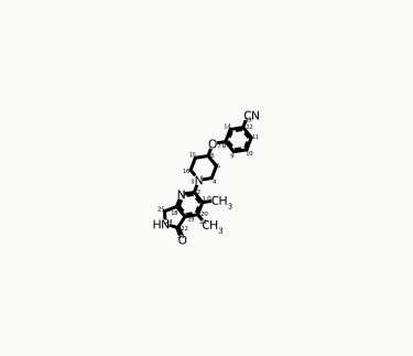 Cc1c(N2CCC(Oc3cccc(C#N)c3)CC2)nc2c(c1C)C(=O)NC2